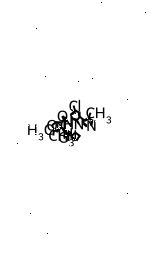 Cc1cncc2[nH]c3c(NC(=O)C4COC(C)(C)CN4CC(=O)N4CCCC4)cc(Cl)cc3c12